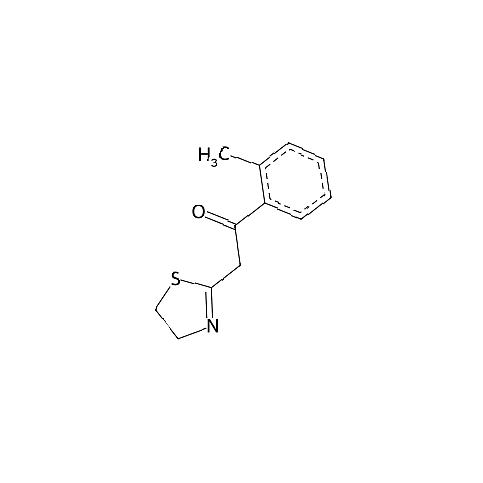 Cc1ccccc1C(=O)CC1=NCCS1